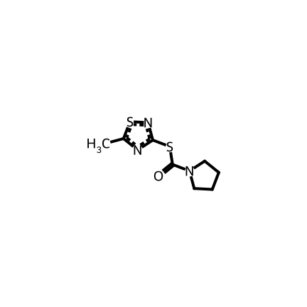 Cc1nc(SC(=O)N2CCCC2)ns1